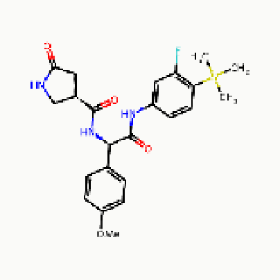 COc1ccc([C@@H](NC(=O)[C@H]2CNC(=O)C2)C(=O)Nc2ccc(S(C)(C)C)c(F)c2)cc1